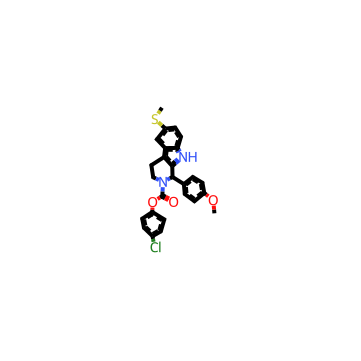 COc1ccc(C2c3[nH]c4ccc(SC)cc4c3CCN2C(=O)Oc2ccc(Cl)cc2)cc1